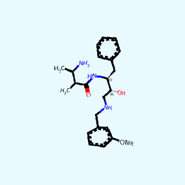 COc1cccc(CNC[C@@H](O)[C@H](Cc2ccccc2)NC(=O)C(C)C(C)N)c1